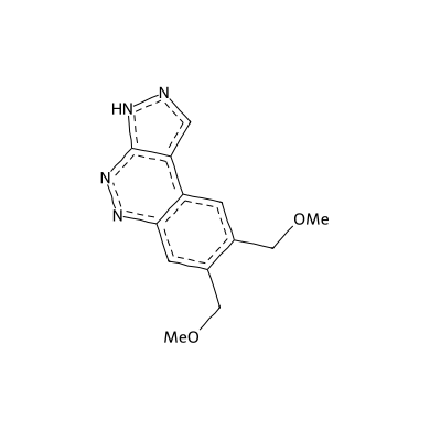 COCc1cc2nnc3[nH]ncc3c2cc1COC